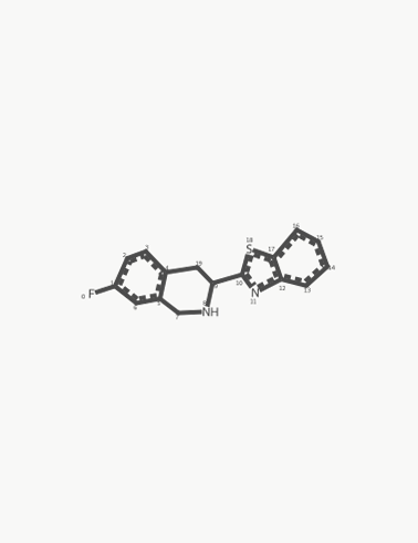 Fc1ccc2c(c1)CNC(c1nc3ccccc3s1)C2